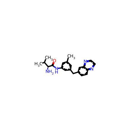 Cc1cc(Cc2ccc3nccnc3c2)cc(NC(=O)[C@@H](N)C(C)C)c1